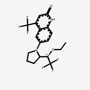 CCO[C@H](C1CCCN1c1ccc2[nH]c(=O)cc(C(F)(F)F)c2c1)C(F)(F)F